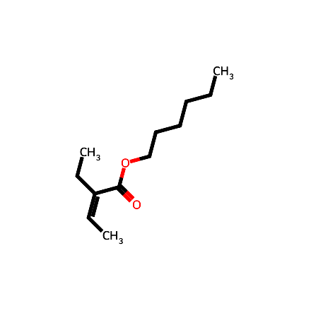 CC=C(CC)C(=O)OCCCCCC